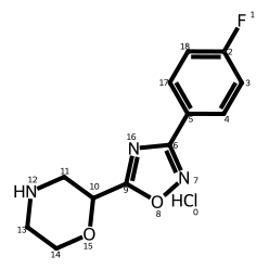 Cl.Fc1ccc(-c2noc(C3CNCCO3)n2)cc1